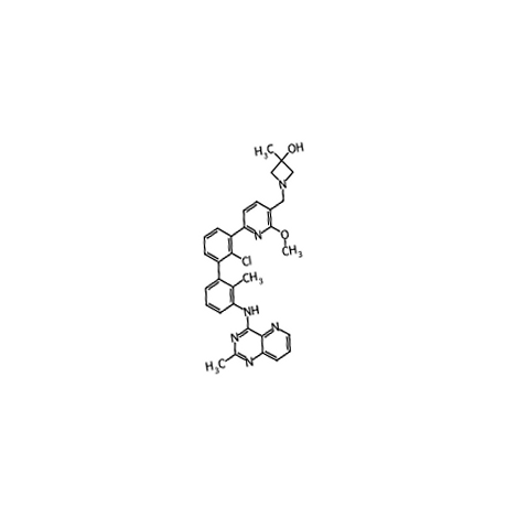 COc1nc(-c2cccc(-c3cccc(Nc4nc(C)nc5cccnc45)c3C)c2Cl)ccc1CN1CC(C)(O)C1